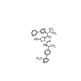 Cc1ncsc1-c1ccc([C@H](C)NC(=O)[C@@H]2C[C@@H](O)CN2C(=O)C(C(C)C)n2cc(-c3cccnc3)cn2)cc1